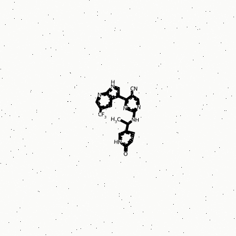 CC(Nc1ncc(C#N)c(-c2c[nH]c3ncc(C(F)(F)F)cc23)n1)c1ccc(=O)[nH]c1